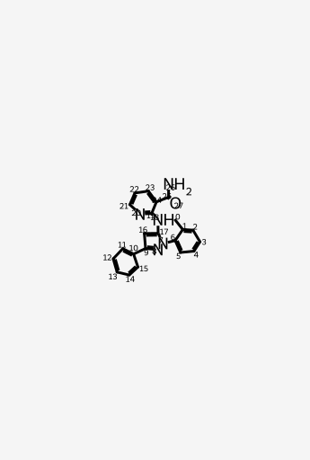 Cc1ccccc1-n1nc(-c2ccccc2)cc1Nc1ncccc1C(N)=O